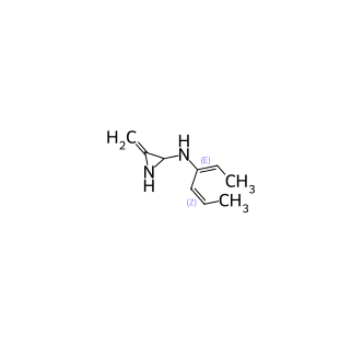 C=C1NC1NC(/C=C\C)=C/C